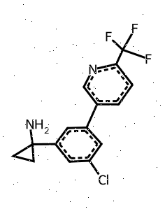 NC1(c2cc(Cl)cc(-c3ccc(C(F)(F)F)nc3)c2)CC1